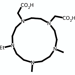 CCN1CCN(C)CCN(C)CCN(CC(=O)O)CCN(CC(=O)O)CC1